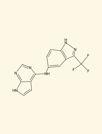 FC(F)(F)c1n[nH]c2ccc(Nc3ncnc4[nH]ccc34)cc12